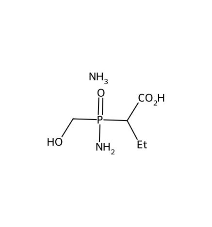 CCC(C(=O)O)P(N)(=O)CO.N